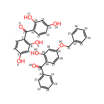 O=C(c1ccc(O)cc1O)c1ccc(O)cc1O.O=C(c1ccccc1)c1ccc(OCc2ccccc2)cc1O